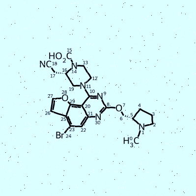 CN1CCC[C@H]1COc1nc(N2CCN(C(=O)O)[C@@H](CC#N)C2)c2c(cc(Br)c3ccoc32)n1